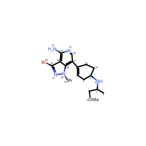 COCC(C)NC1CC=C(c2cnc(N)c3c(Br)nn(C(C)C)c23)CC1